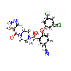 Cc1nnsc1C(=O)N1CCN([SH](=O)(I)c2cc(C#N)ccc2Oc2cc(Cl)cc(Cl)c2)CC1